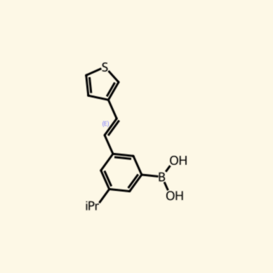 CC(C)c1cc(/C=C/c2ccsc2)cc(B(O)O)c1